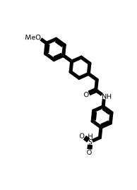 COc1ccc(C2CCC(CC(=O)Nc3ccc(C[SH](=O)=O)cc3)CC2)cc1